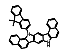 CC1(C)c2ccccc2-c2ccc(-n3c4cc5c(cc4c4ccc6ccccc6c43)[nH]c3ccc4ccccc4c35)cc21